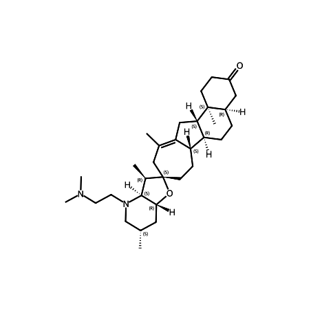 CC1=C2C[C@H]3[C@@H](CC[C@@H]4CC(=O)CC[C@@]43C)[C@@H]2CC[C@@]2(C1)O[C@@H]1C[C@H](C)CN(CCN(C)C)[C@H]1[C@H]2C